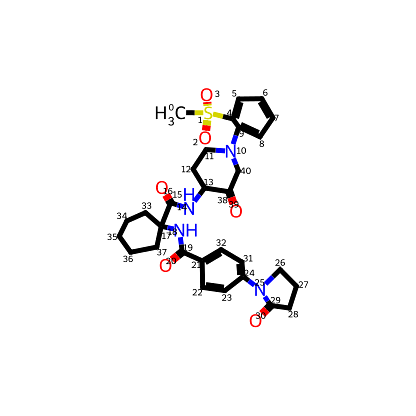 CS(=O)(=O)c1ccccc1N1CCC(NC(=O)C2(NC(=O)c3ccc(N4CCCC4=O)cc3)CCCCC2)C(=O)C1